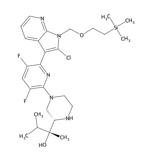 CC(C)[C@@](C)(O)[C@@H]1CN(c2nc(-c3c(Cl)n(COCC[Si](C)(C)C)c4ncccc34)c(F)cc2F)CCN1